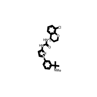 CNC(C)(C)c1cccc(-n2ccc(NC(=O)N[C@H]3CCOc4c(Cl)cccc43)n2)c1